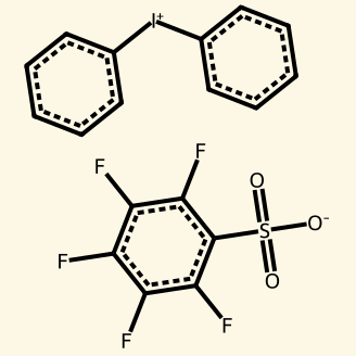 O=S(=O)([O-])c1c(F)c(F)c(F)c(F)c1F.c1ccc([I+]c2ccccc2)cc1